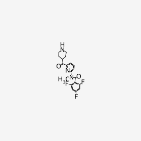 CN(C(=O)c1c(F)cc(F)cc1F)c1cccc(C(=O)C2CCNCC2)n1